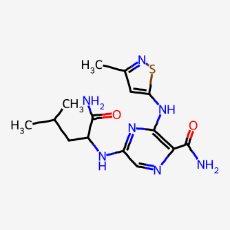 Cc1cc(Nc2nc(NC(CC(C)C)C(N)=O)cnc2C(N)=O)sn1